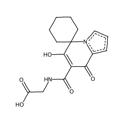 O=C(O)CNC(=O)C1=C(O)C2(CCCCC2)n2cccc2C1=O